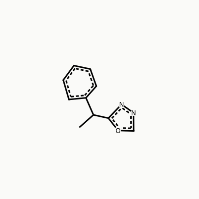 CC(c1ccccc1)c1nnco1